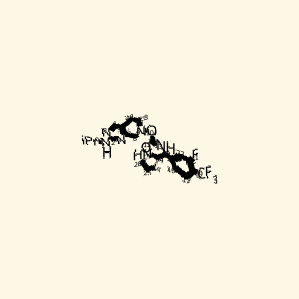 CC(C)Nc1ncc2c(n1)CN(OC(=O)N[C@@H](c1ccc(C(F)(F)F)c(F)c1)[C@@H]1CCCN1)CC2